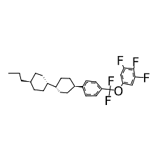 CCC[C@H]1CC[C@H]([C@H]2CC[C@H](c3ccc(C(F)(F)Oc4cc(F)c(F)c(F)c4)cc3)CC2)CC1